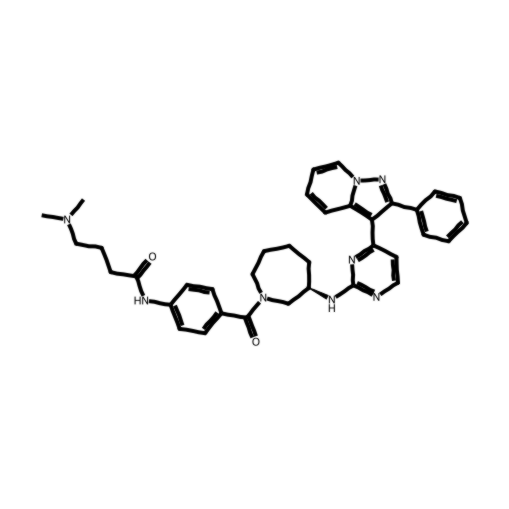 CN(C)CCCC(=O)Nc1ccc(C(=O)N2CCCC[C@@H](Nc3nccc(-c4c(-c5ccccc5)nn5ccccc45)n3)C2)cc1